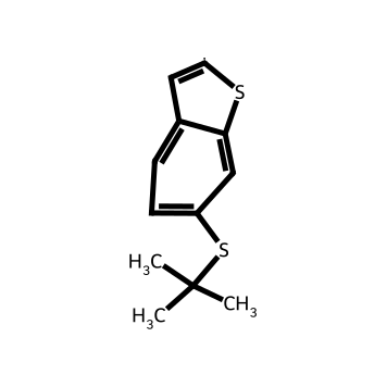 CC(C)(C)Sc1ccc2c[c]sc2c1